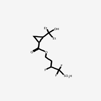 CCC(O)(CC)C1CC1C(=O)OCCC(F)C(F)(F)S(=O)(=O)O